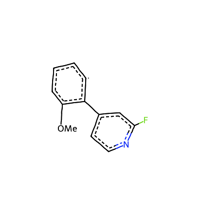 COc1ccc[c]c1-c1ccnc(F)c1